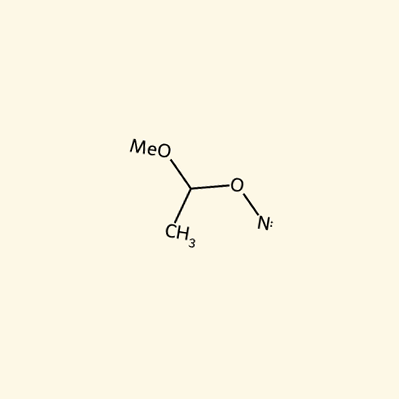 COC(C)O[N]